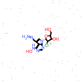 C[C@@]1(Cl)C(O)C(CO)O[C@H]1n1cc(/C=N/N)c2c(NO)ncnc21